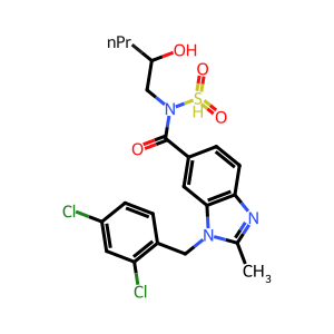 CCCC(O)CN(C(=O)c1ccc2nc(C)n(Cc3ccc(Cl)cc3Cl)c2c1)[SH](=O)=O